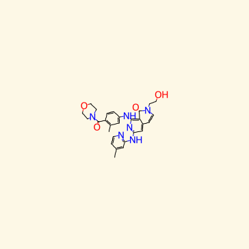 Cc1ccnc(Nc2cc3ccn(CCO)c(=O)c3c(Nc3ccc(C(=O)N4CCOCC4)c(C)c3)n2)c1